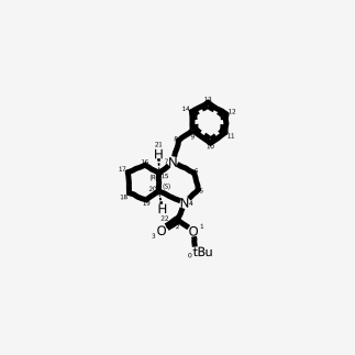 CC(C)(C)OC(=O)N1CCN(Cc2ccccc2)[C@@H]2CCCC[C@@H]21